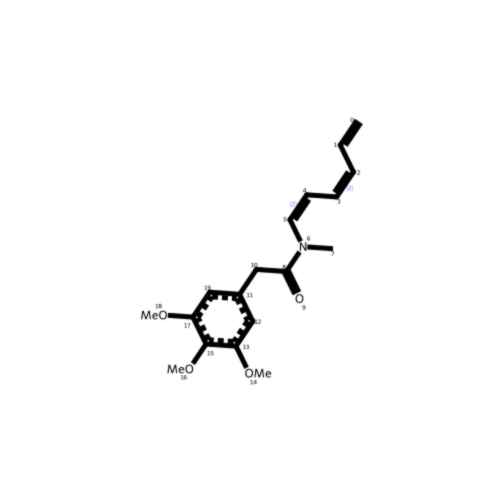 C=C/C=C\C=C/N(C)C(=O)Cc1cc(OC)c(OC)c(OC)c1